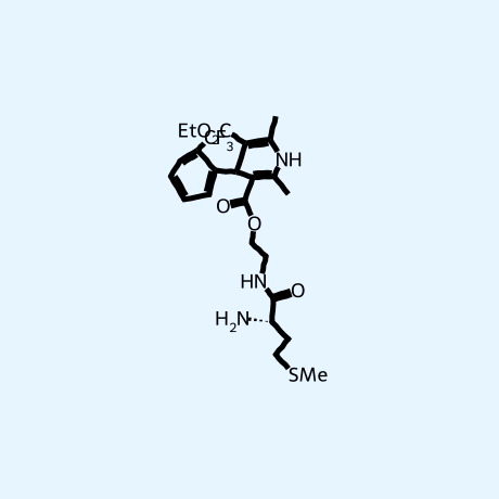 CCOC(=O)C1=C(C)NC(C)=C(C(=O)OCCNC(=O)[C@@H](N)CCSC)C1c1ccccc1C(F)(F)F